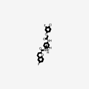 O=C(COc1ccc(Cl)c(F)c1)NC12CCC(NC(=O)[C@@H]3CCc4cc(F)ccc4O3)(CC1)[C@@H](O)C2